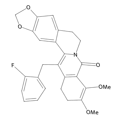 COC1=C(OC)c2c(c(Cc3ccccc3F)c3n(c2=O)CCc2cc4c(cc2-3)OCO4)CC1